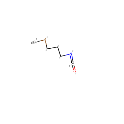 CCCCSCCCN=C=O